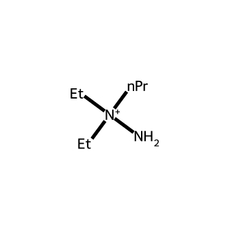 CCC[N+](N)(CC)CC